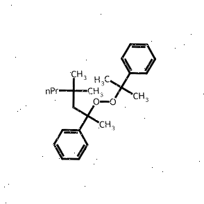 CCCC(C)(C)CC(C)(OOC(C)(C)c1ccccc1)c1ccccc1